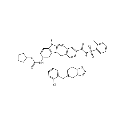 COc1cc(C(=O)NS(=O)(=O)c2ccccc2C)ccc1Cc1cn(C)c2ccc(NC(=O)OC3CCCC3)cc12.Clc1ccccc1CN1CCc2sccc2C1